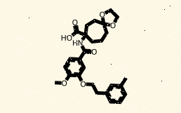 COc1ccc(C(=O)NC2(C(=O)O)CCCC3(CC2)OCCO3)cc1OCCc1cccc(C)c1